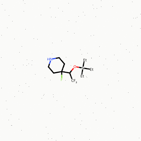 CC[Si](CC)(CC)OC(C(F)(F)F)C1(F)CCNCC1